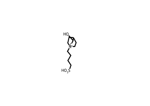 O=S(=O)(O)CCCC[N+]12CCC(CC1)C(O)C2